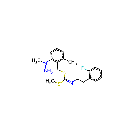 CSC(=NCCc1ccccc1F)SCc1c(C)cccc1N(C)N